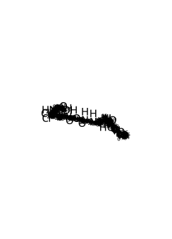 C[C@H](CC(=O)N1CCC(O)(Cn2cnc3c(-c4ccc(CNCCCNC(=O)CCOC=CC(=O)NCCn5ccc(-c6cc(Cl)c(Cl)c7[nH]c8c(c67)CN(C(=O)CO)CC8)n5)cc4)n(C)nc3c2=O)CC1)c1ccccc1